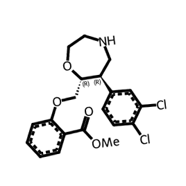 COC(=O)c1ccccc1OC[C@@H]1OCCNC[C@H]1c1ccc(Cl)c(Cl)c1